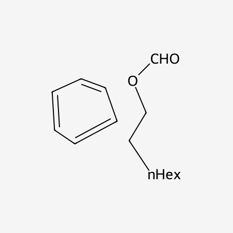 CCCCCCCCOC=O.c1ccccc1